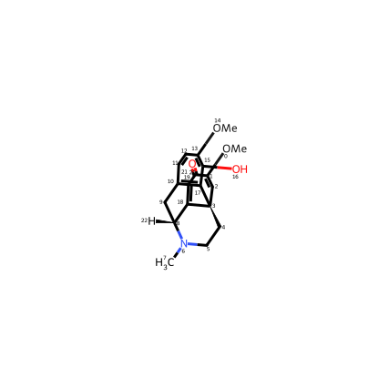 COC1=C[C@@]23CCN(C)[C@H](Cc4ccc(OC)c(O)c42)C3=CC1=O